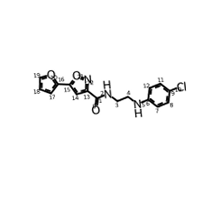 O=C(NCCNc1ccc(Cl)cc1)c1cc(-c2ccco2)on1